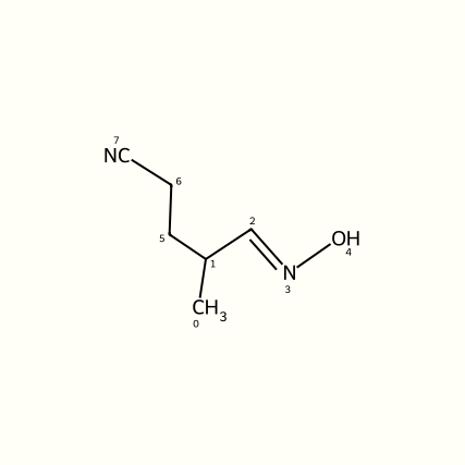 CC(C=NO)CCC#N